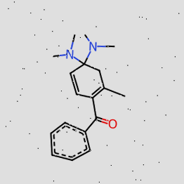 CC1=C(C(=O)c2ccccc2)C=CC(N(C)C)(N(C)C)C1